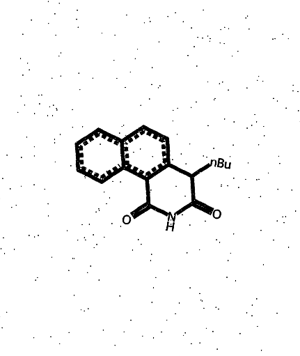 CCCCC1C(=O)NC(=O)c2c1ccc1ccccc21